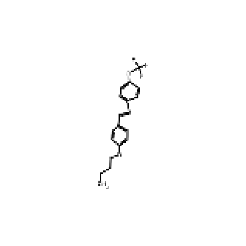 CCCCOc1ccc(C=Cc2ccc(OC(F)(F)F)cc2)cc1